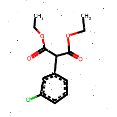 CCOC(=O)C(C(=O)OCC)c1cccc(Cl)c1